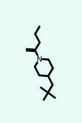 C=C(CCC)N1CCC(CC(C)(C)C)CC1